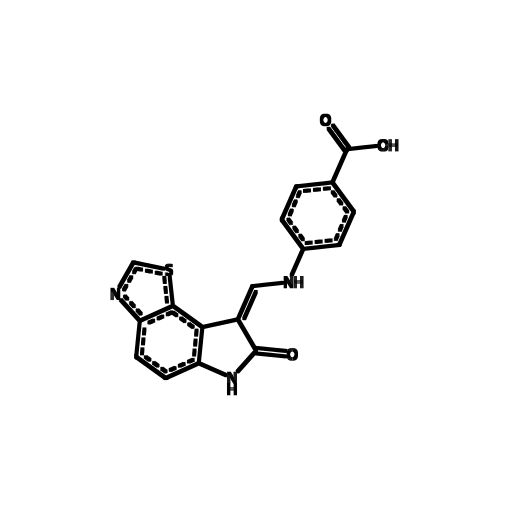 O=C1Nc2ccc3ncsc3c2/C1=C/Nc1ccc(C(=O)O)cc1